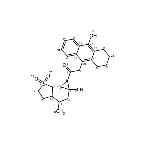 CC(CC1(C)SC1C(=O)Cc1c2c(c(O)c3ccccc13)CCCC2)C1CCS(=O)(=O)C1